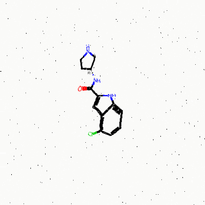 O=C(N[C@@H]1CCNC1)c1cc2c(Cl)cccc2[nH]1